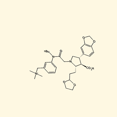 CCCCN(C(=O)CN1C[C@H](c2ccc3c(c2)OCO3)[C@@H](C(=O)O)[C@@H]1CCC1OCCO1)c1cccc(C[N+](C)(C)C)c1